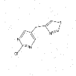 Clc1ncc(Cc2cscn2)cn1